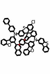 Clc1ccc2c(c1)Sc1cc(N(c3ccc(-c4ccccc4)cc3)c3cc(-c4ccc5ccccc5c4)c4oc5ccccc5c4c3)ccc1C21c2ccccc2-c2c(N(c3cc(-c4ccccc4)c4c(c3)oc3ccccc34)c3ccc4sc5ccccc5c4c3)cccc21